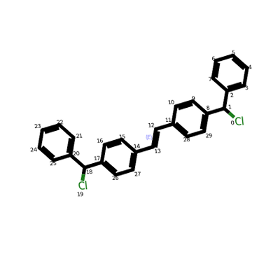 ClC(c1ccccc1)c1ccc(/C=C/c2ccc(C(Cl)c3ccccc3)cc2)cc1